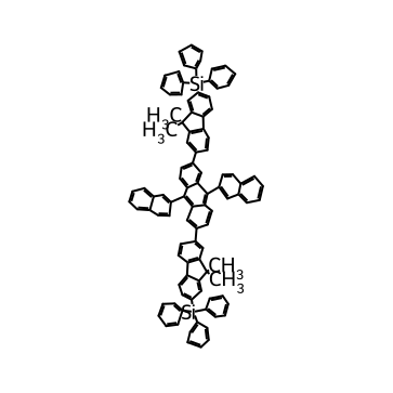 CC1(C)c2cc(-c3ccc4c(-c5ccc6ccccc6c5)c5cc(-c6ccc7c(c6)C(C)(C)c6cc([Si](c8ccccc8)(c8ccccc8)c8ccccc8)ccc6-7)ccc5c(-c5ccc6ccccc6c5)c4c3)ccc2-c2ccc([Si](c3ccccc3)(c3ccccc3)c3ccccc3)cc21